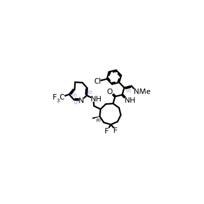 CN/C=C(\C(=N)C(=O)C1CCCC(F)(F)C[C@@H](C)C(CNC2=C/CC/C=C(C(F)(F)F)/C=N\2)C1)c1cccc(Cl)c1